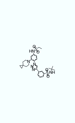 CCS(=O)(=O)Nc1ccc(-n2cc(-c3cccc(S(=O)(=O)NC(C)(C)C)c3)nn2)c(N2CCC3(CC2)CC3)c1